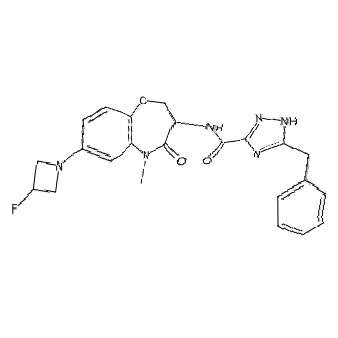 CN1C(=O)C(NC(=O)c2n[nH]c(Cc3ccccc3)n2)COc2ccc(N3CC(F)C3)cc21